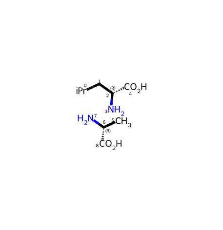 CC(C)C[C@@H](N)C(=O)O.C[C@@H](N)C(=O)O